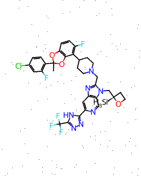 CC1(c2ccc(Cl)cc2F)Oc2ccc(F)c(C3CCN(Cc4nc5cc(-c6nnc(C(F)(F)F)[nH]6)ncc5n4C[C@]4([SiH3])CCO4)CC3)c2O1